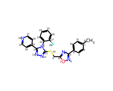 Cc1ccc(-c2noc(CSc3nnc(-c4ccncc4)n3-c3ccccc3F)n2)cc1